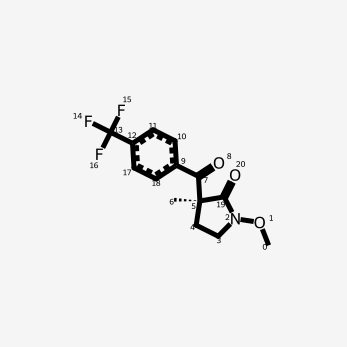 CON1CC[C@@](C)(C(=O)c2ccc(C(F)(F)F)cc2)C1=O